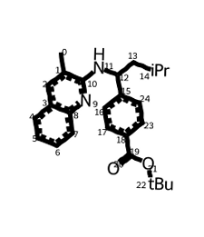 Cc1cc2ccccc2nc1NC(CC(C)C)c1ccc(C(=O)OC(C)(C)C)cc1